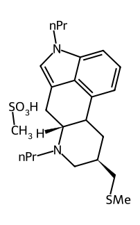 CCCN1C[C@H](CSC)CC2c3cccc4c3c(cn4CCC)C[C@H]21.CS(=O)(=O)O